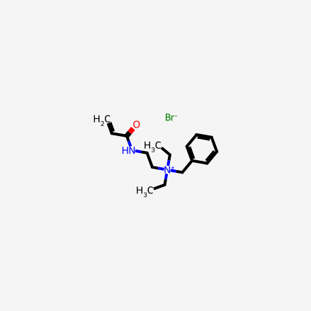 C=CC(=O)NCC[N+](CC)(CC)Cc1ccccc1.[Br-]